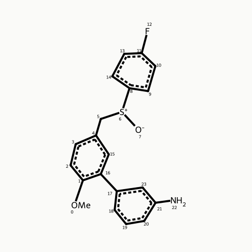 COc1ccc(C[S+]([O-])c2ccc(F)cc2)cc1-c1cccc(N)c1